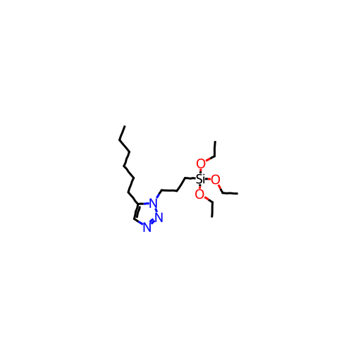 CCCCCCc1cnnn1CCC[Si](OCC)(OCC)OCC